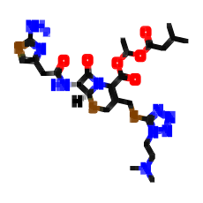 CC(C)CC(=O)OC(C)OC(=O)C1=C(CSc2nnnn2CCN(C)C)CS[C@H]2[C@H](NC(=O)Cc3csc(N)n3)C(=O)N12